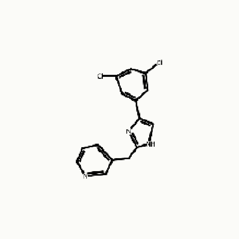 Clc1cc(Cl)cc(-c2c[nH]c(Cc3cccnc3)n2)c1